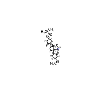 C=C(C)C(=O)Oc1ccc(-c2ccc(-c3ccc(OC)cc3F)c(/C=C\C)c2)c(F)c1